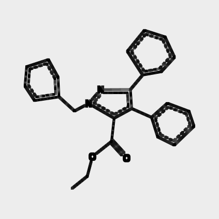 CCOC(=O)c1c(-c2ccccc2)c(-c2ccccc2)nn1Cc1ccccc1